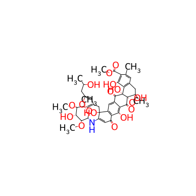 COC(=O)c1c(C)cc2c(c1O)[C@]1(O)C(=O)c3cc4c(c(O)c3C(=O)[C@]1(OC)[C@H](O)C2)C(=O)C=C(N[C@H]1O[C@@H](C)[C@H](OC)[C@@H](O)[C@H]1OC)C4(O)Cc1coc(CC(C)O)c1